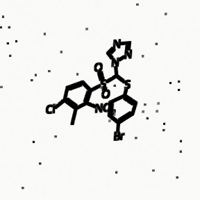 Cc1c(Cl)ccc(S(=O)(=O)C(Sc2ccc(Br)cc2)n2cncn2)c1[N+](=O)[O-]